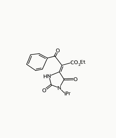 CCOC(=O)C(C(=O)c1ccccc1)=C1NC(=O)N(C(C)C)C1=O